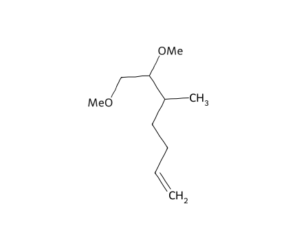 C=CCCC(C)C(COC)OC